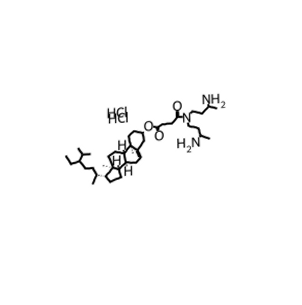 CCC(CCC(C)[C@H]1CC[C@H]2[C@@H]3CC=C4C[C@@H](OC(=O)CCC(=O)N(CCC(C)N)CCC(C)N)CC[C@]4(C)[C@H]3CC[C@]12C)C(C)C.Cl.Cl